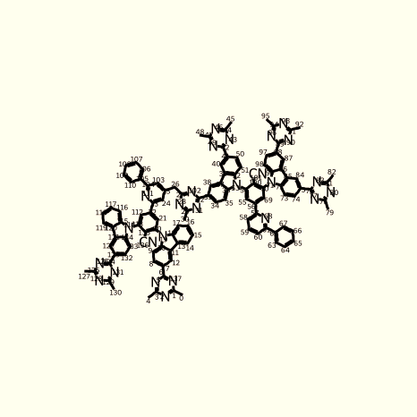 Cc1nc(C)nc(-c2ccc3c(c2)c2ccccc2n3-c2cc(-c3cc(Cc4nc(C)nc(-c5ccc6c(c5)c5cc(-c7nc(C)nc(C)n7)ccc5n6-c5cc(-c6cccc(-c7ccccc7)n6)cc(-n6c7ccc(-c8nc(C)nc(C)n8)cc7c7cc(-c8nc(C)nc(C)n8)ccc76)c5C#N)n4)cc(-c4ccccc4)n3)cc(-n3c4ccccc4c4cc(-c5nc(C)nc(C)n5)ccc43)c2C#N)n1